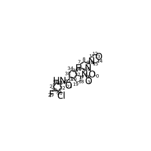 COC(=O)N(c1cccc(N2CCOCC2)n1)[C@H]1CCc2c(C(=O)Nc3ccc(F)c(Cl)c3)ccc(F)c21